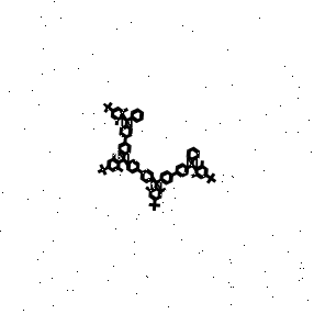 Cc1cc(C(C)(C)C)cc(C)c1N(c1ccccc1)c1ccc(-c2ccc(N(c3ccc(-c4ccc(N(c5ccc(-c6ccc(N(c7ccccc7)c7c(C)cc(C(C)(C)C)cc7C)cc6)cc5)c5c(C)cc(C(C)(C)C)cc5C)cc4)cc3)c3c(C)cc(C(C)(C)C)cc3C)cc2)cc1